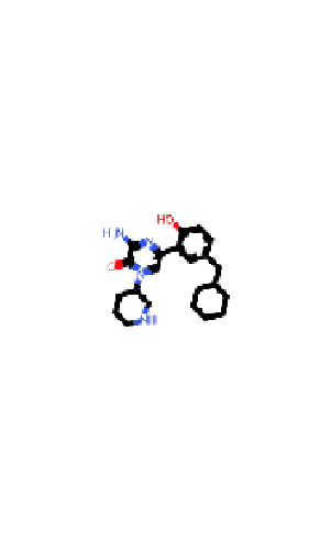 Nc1nc(-c2cc(CC3CCCCC3)ccc2O)cn(C2CCCNC2)c1=O